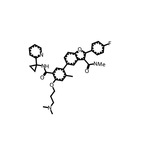 CNC(=O)c1c(-c2ccc(F)cc2)oc2ccc(-c3cc(C(=O)NC4(c5ccccn5)CC4)c(OCCCN(C)C)cc3C)cc12